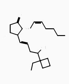 CCCC/C=C\C[C@H]1C(=O)C[C@@H](C)C1/C=C/CC(O)C1(CC)CCC1